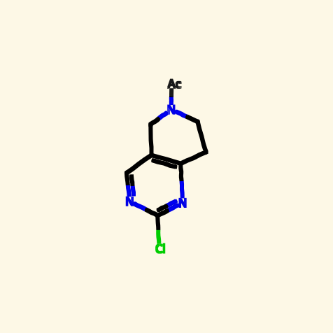 CC(=O)N1CCc2nc(Cl)ncc2C1